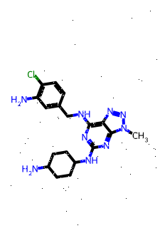 Cn1nnc2c(NCc3ccc(Cl)c(N)c3)nc(NC3CCC(N)CC3)nc21